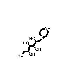 OC[C@@H](O)[C@H](O)[C@H](O)[C@@H](O)CN1CCNCC1